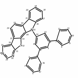 c1ccc(-c2cc(-c3ccccc3)cc(-n3c4ccccc4c4ccc5c6cncnc6sc5c43)c2)cc1